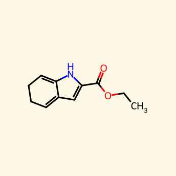 CCOC(=O)c1cc2c([nH]1)=CCCC=2